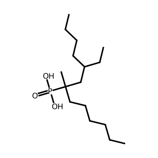 CCCCCCC(C)(CC(CC)CCCC)P(=O)(O)O